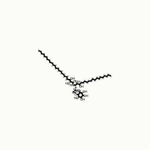 CCCCCCCCCCCCCCCCCCCCCC(O)C(O)C(=O)N[C@@H](COP(=O)(O)OC1[C@H](O)[C@H](O)C(O)[C@H](O)[C@H]1O)[C@H](O)C(O)CCCCCCCCCCCCCCCC